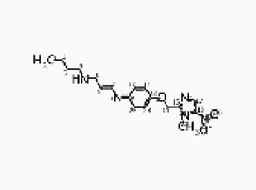 CCCCNCC=CN=C1C=CC(OCc2ncc([N+](=O)[O-])n2C)=CC1